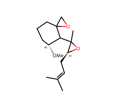 CO[C@@H]1CCCC2(CO2)C1C1(C)O[C@H]1CC=C(C)C